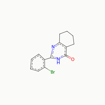 O=c1[nH]c(-c2ccccc2Br)nc2c1CCCC2